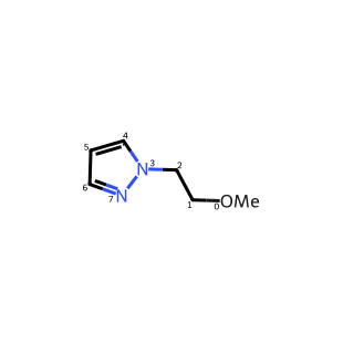 COCCn1[c]ccn1